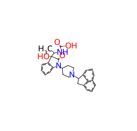 CC(NC(=O)O)C1(O)C(=O)N(C2CCN(C3Cc4cccc5cccc3c45)CC2)c2ccccc21